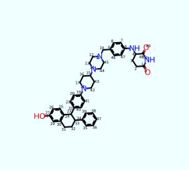 O=C1CCC(Nc2ccc(CN3CCN(C4CCN(c5ccc(C6c7ccc(O)cc7CCC6c6ccccc6)cc5)CC4)CC3)cc2)C(=O)N1